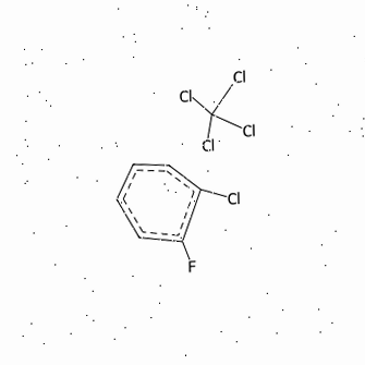 ClC(Cl)(Cl)Cl.Fc1ccccc1Cl